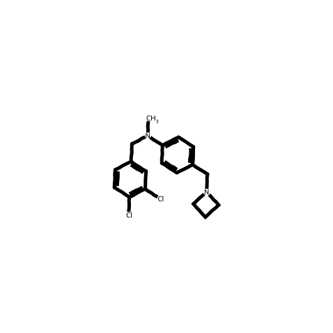 CN(Cc1ccc(Cl)c(Cl)c1)c1ccc(CN2CCC2)cc1